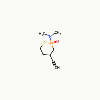 C#CC1CCSP(=O)(N(C)C)C1